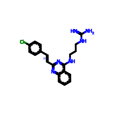 N=C(N)NCCCNc1nc(/C=C/c2ccc(Cl)cc2)nc2ccccc12